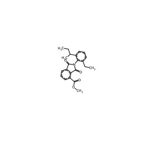 CCc1cccc(C(C)CC)c1N1C(=O)c2cccc(C(=O)OC)c2C1=O